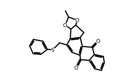 CC1OC2Cc3c4c(cc(CSc5ccccc5)c3C2O1)C(=O)c1ccccc1C4=O